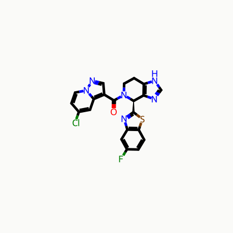 O=C(c1cnn2ccc(Cl)cc12)N1CCc2[nH]cnc2[C@H]1c1nc2cc(F)ccc2s1